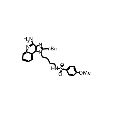 CCCCc1nc2c(N)nc3ccccc3c2n1CCCCNS(=O)(=O)c1ccc(OC)cc1